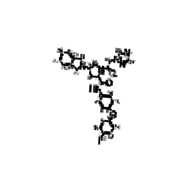 O=C(Nc1ccc(Oc2ccc(F)cc2)cc1)C1CC(N2Cc3ccccc3C2)CN1C(=O)Cn1cncn1